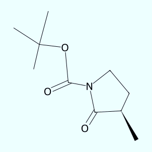 C[C@@H]1CCN(C(=O)OC(C)(C)C)C1=O